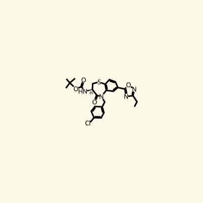 CCc1noc(-c2ccc3c(c2)N(Cc2ccc(Cl)cc2)C(=O)[C@@H](NC(=O)OC(C)(C)C)CS3)n1